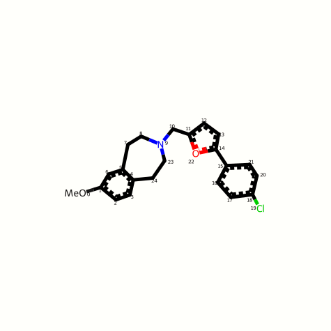 COc1ccc2c(c1)CCN(Cc1ccc(-c3ccc(Cl)cc3)o1)CC2